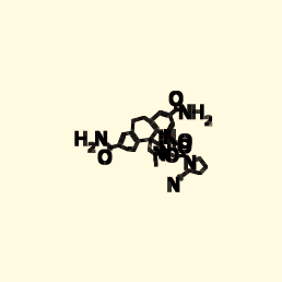 C[C@@H](CC1(c2nc(=O)on2C)c2ccc(C(N)=O)cc2CCc2cc(C(N)=O)ccc21)NCC(=O)N1CCCC1C#N